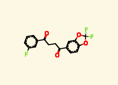 O=C(CCC(=O)c1ccc2c(c1)OC(F)(F)O2)c1cccc(F)c1